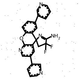 NC1=NC2(CC1(F)F)c1cc(-c3cccnc3)ccc1Oc1ncc(-c3cccnc3)cc12